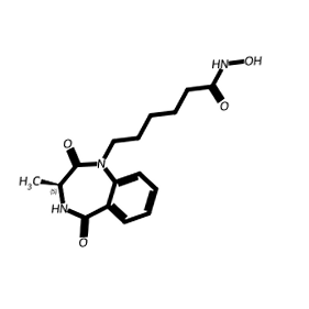 C[C@@H]1NC(=O)c2ccccc2N(CCCCCC(=O)NO)C1=O